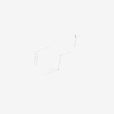 [CH]c1ccccc1OCC